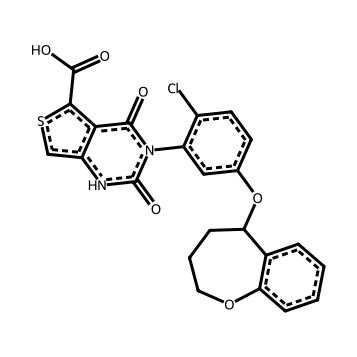 O=C(O)c1scc2[nH]c(=O)n(-c3cc(OC4CCCOc5ccccc54)ccc3Cl)c(=O)c12